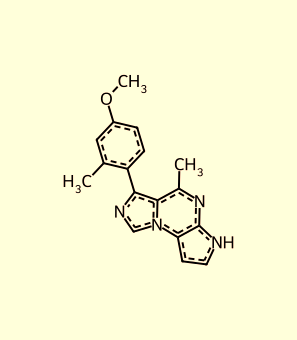 COc1ccc(-c2ncn3c2c(C)nc2[nH]ccc23)c(C)c1